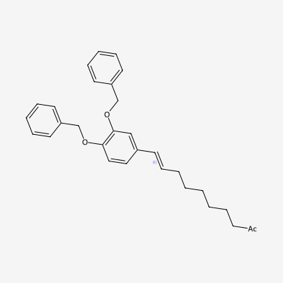 CC(=O)CCCCCC/C=C/c1ccc(OCc2ccccc2)c(OCc2ccccc2)c1